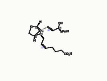 CCCCC[C@H](O)/C=C/[C@@H]1[C@@H](C/C=C\CCCC(=O)O)[C@@H]2CO[C@H]1C2